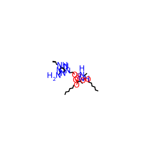 C=CCNc1nc(N)nc2c1ncn2CCOCP(=O)(NC(C)C(=O)OCCCCCC)NC(C)C(=O)OCCCCCC